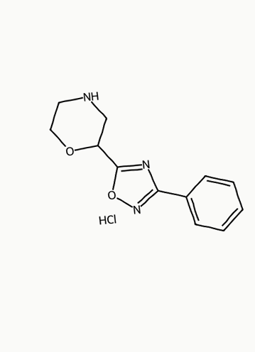 Cl.c1ccc(-c2noc(C3CNCCO3)n2)cc1